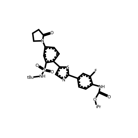 CC(C)OC(=O)Nc1ccc(-c2ncc(-c3ccc(N4CCCC4=O)cc3S(=O)(=O)NC(C)(C)C)s2)cc1F